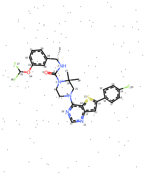 C[C@H](NC(=O)N1CCN(c2ncnc3cc(-c4ccc(F)cc4)sc23)CC1(C)C)c1cccc(OC(F)F)c1